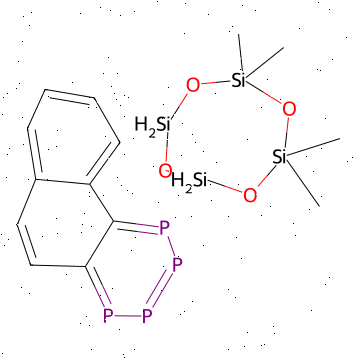 C[Si]1(C)O[SiH2]O[SiH2]O[Si](C)(C)O1.c1ccc2c(c1)ccc1ppppc12